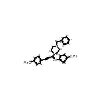 COc1ccc(C#CC(=Nc2ccc(OC)cc2)N2CCN(Cc3ccccc3)CC2)cc1